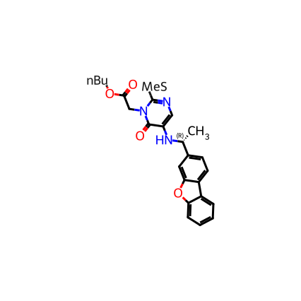 CCCCOC(=O)Cn1c(SC)ncc(N[C@H](C)c2ccc3c(c2)oc2ccccc23)c1=O